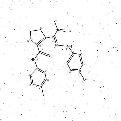 COc1ccc(N/N=C(\C(C)=O)C2=C(C(=O)Nc3ccc(I)cc3)OCC2)cc1